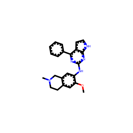 COc1cc2c(cc1Nc1nc(-c3ccccc3)c3cc[nH]c3n1)CN(C)CC2